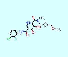 COCC1CC(CN(C)C(=O)c2[nH]cc(C(=O)NCc3cccc(Cl)c3F)c(=O)c2O)C1